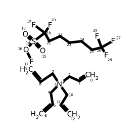 C=CC[N+](CC=C)(CC=C)CC=C.O=S(=O)(OF)C(F)(F)CCCCCC(F)(F)F